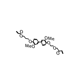 C=CC(=O)COCCOc1ccc(-c2ccc(OCCCOC(=O)C=C)c(OC)c2)cc1OC